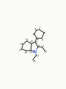 CCC1C(C2CCCCC2)C2CCCCC2N1CC